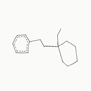 CCC1(CCc2ccccc2)CCCCC1